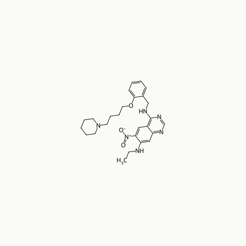 CCNc1cc2ncnc(NCc3ccccc3OCCCCN3CCCCC3)c2cc1[N+](=O)[O-]